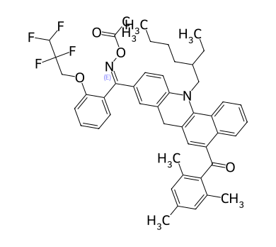 CCCCC(CC)CN1c2ccc(/C(=N\OC(C)=O)c3ccccc3OCC(F)(F)C(F)F)cc2Cc2cc(C(=O)c3c(C)cc(C)cc3C)c3ccccc3c21